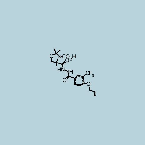 C=CCOc1ccc(C(=O)NNC(=O)C2(C)COC(C)(C)N2C(=O)O)cc1C(F)(F)F